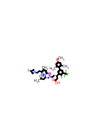 COc1cc(C)c(-c2cc([C@@H](CCNC[C@H](CC(C)C)n3nc(CCN4CC(F)C4)c(C)cc3=O)CC(=O)O)c(F)c(C(F)(F)F)c2)c(C)c1